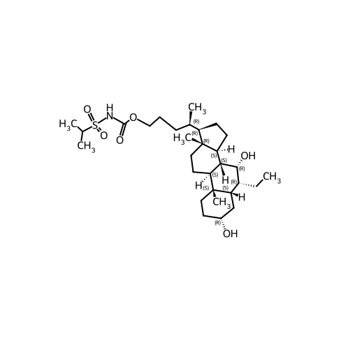 CC[C@H]1[C@@H](O)[C@@H]2[C@H](CC[C@]3(C)[C@@H]([C@H](C)CCCOC(=O)NS(=O)(=O)C(C)C)CC[C@@H]23)[C@@]2(C)CC[C@@H](O)C[C@@H]12